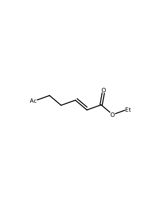 CCOC(=O)C=CCCC(C)=O